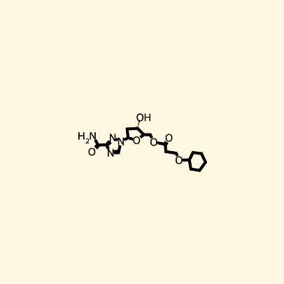 NC(=O)c1ncn(C2C[C@H](O)C(COC(=O)CCOC3CCCCC3)O2)n1